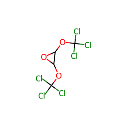 ClC(Cl)(Cl)OC1OC1OC(Cl)(Cl)Cl